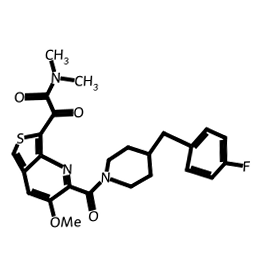 COc1cc2csc(C(=O)C(=O)N(C)C)c2nc1C(=O)N1CCC(Cc2ccc(F)cc2)CC1